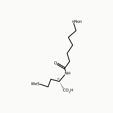 CCCCCCCCCCCCCCC(=O)N[C@@H](CCSC)C(=O)O